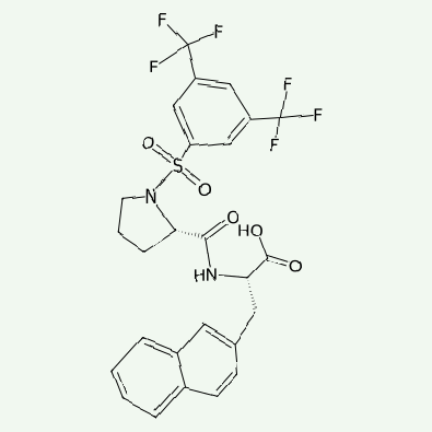 O=C(O)[C@H](Cc1ccc2ccccc2c1)NC(=O)[C@@H]1CCCN1S(=O)(=O)c1cc(C(F)(F)F)cc(C(F)(F)F)c1